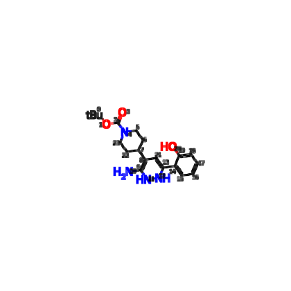 CC(C)(C)OC(=O)N1CCC(C2=C(N)NNC(c3ccccc3O)=C2)CC1